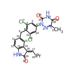 Cc1nn(-c2cc(Cl)c(Cc3ccc4c(c3)/C(=C/C(C)C)C(=O)N4)c(Cl)c2)c(=O)[nH]c1=O